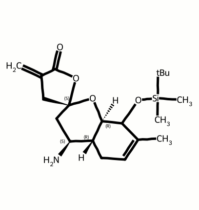 C=C1C[C@@]2(C[C@H](N)[C@H]3CC=C(C)C(O[Si](C)(C)C(C)(C)C)[C@@H]3O2)OC1=O